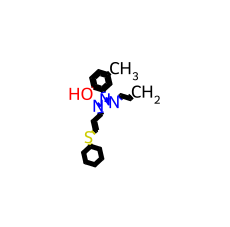 C=C/C=N/N(/N=C/C=C/SC1CCCCC1)c1cc(C)ccc1O